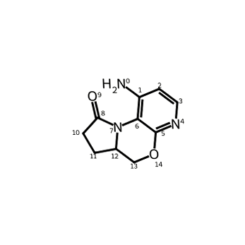 Nc1ccnc2c1N1C(=O)CCC1CO2